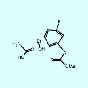 CCO.COC(=S)Nc1cccc(F)c1.NC(O)=S